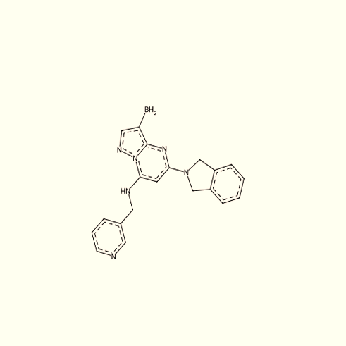 Bc1cnn2c(NCc3cccnc3)cc(N3Cc4ccccc4C3)nc12